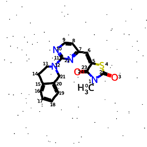 CN1C(=O)SC(=Cc2ccnc(N3CCc4ccccc4C3)n2)C1=O